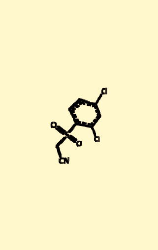 N#CCS(=O)(=O)c1ccc(Cl)cc1Cl